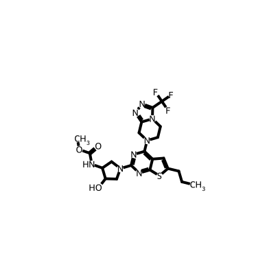 CCCc1cc2c(N3CCn4c(nnc4C(F)(F)F)C3)nc(N3CC(O)C(NC(=O)OC)C3)nc2s1